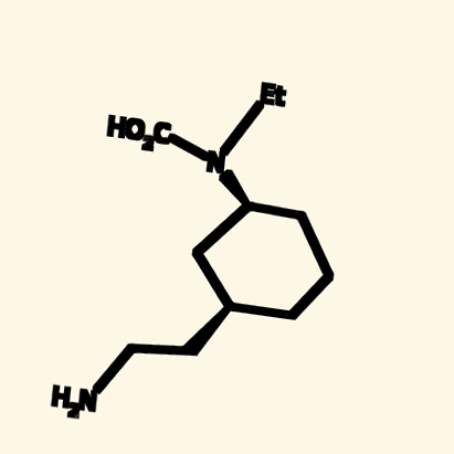 CCN(C(=O)O)[C@H]1CCC[C@@H](CCN)C1